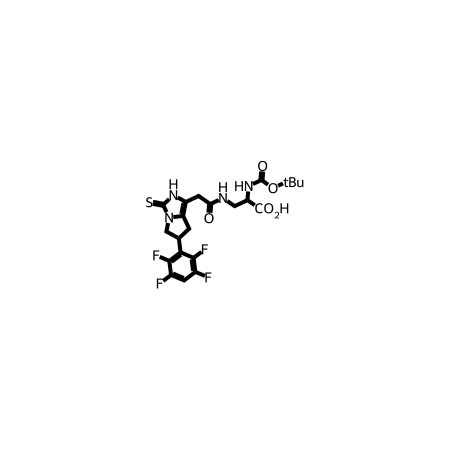 CC(C)(C)OC(=O)NC(CNC(=O)Cc1[nH]c(=S)n2c1CC(c1c(F)c(F)cc(F)c1F)C2)C(=O)O